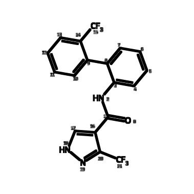 O=C(Nc1ccccc1-c1ccccc1C(F)(F)F)c1c[nH]nc1C(F)(F)F